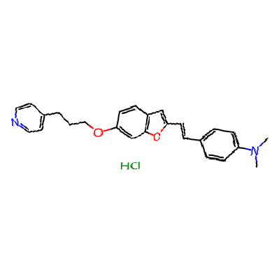 CN(C)c1ccc(C=Cc2cc3ccc(OCCCc4ccncc4)cc3o2)cc1.Cl